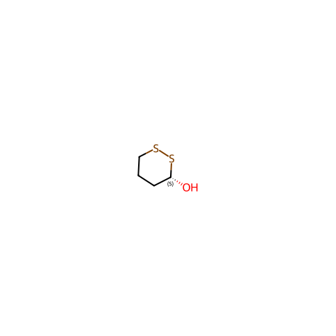 O[C@@H]1CCCSS1